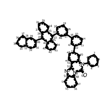 O=c1n(-c2ccccc2)c2cc(-c3cccc(-c4cccc(-c5c6ccccc6c(-c6ccc7ccccc7c6)c6ccccc56)c4)c3)ccc2c2nc3ccccc3n12